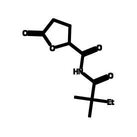 CCC(C)(C)C(=O)NC(=O)C1CCC(=O)O1